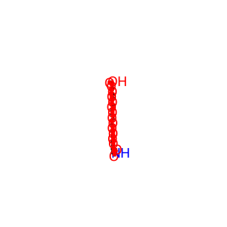 O=C(O)COCCOCCOCCOCCOCCOCCOCCOCCOCCOCCOCCOCCCC1=CC(=O)NC1=O